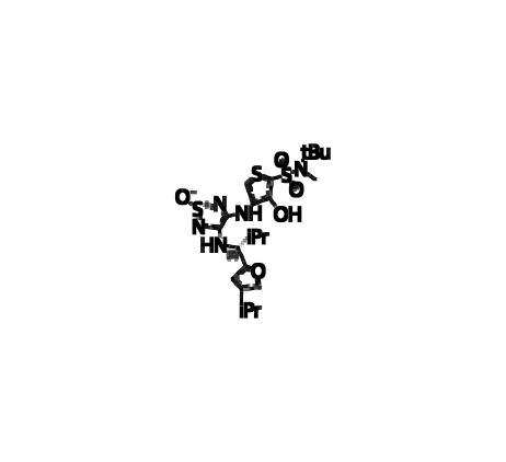 CC(C)c1coc([C@H](Nc2n[s+]([O-])nc2Nc2csc(S(=O)(=O)N(C)C(C)(C)C)c2O)C(C)C)c1